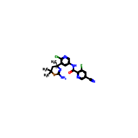 CC1(C)C[C@@](C)(c2cc(NC(=O)c3ncc(C#N)cc3F)cnc2Cl)N=C(N)S1